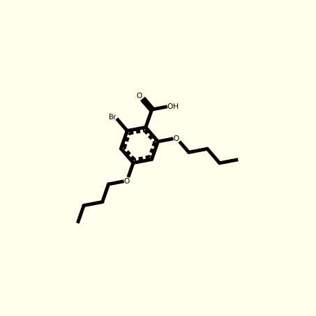 CCCCOc1cc(Br)c(C(=O)O)c(OCCCC)c1